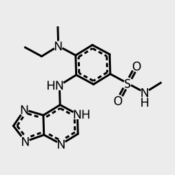 CCN(C)c1ccc(S(=O)(=O)NC)cc1Nc1[nH]cnc2ncnc1-2